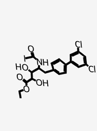 CCOC(=O)C(O)C(O)C(Cc1ccc(-c2cc(Cl)cc(Cl)c2)cc1)NC(=O)I